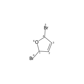 BrC1C=CC(Br)O1